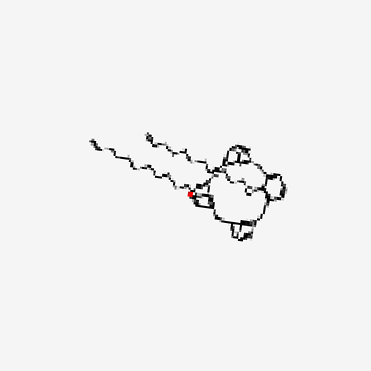 C=CCCCCCCCCCOc1c2cccc1Cc1cccc(c1O)Cc1cccc(c1OCCCCCCCCCC=C)Cc1cccc(c1O)C2